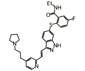 CCNC(=O)c1cc(F)ccc1Sc1ccc2c(/C=C/c3cc(CCCN4CCCC4)ccn3)n[nH]c2c1